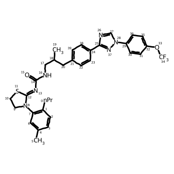 CCCc1ccc(C)cc1N1CCS/C1=N\C(=O)NCC(C)Cc1ccc(-c2ncn(-c3ccc(OC(F)(F)F)cc3)n2)cc1